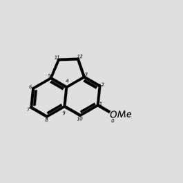 COc1cc2c3c(cccc3c1)CC2